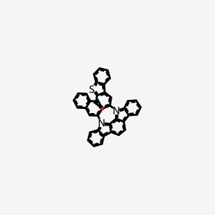 c1ccc2cc(-n3c4ccccc4c4ccc5c6ccccc6n(-c6ccc7sc8ccccc8c7c6)c5c43)ccc2c1